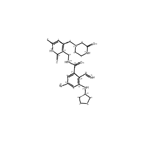 Cc1cc(CN2CCNC(=O)C2)c(CNC(=O)c2cc(Br)cc(NC3CCCC3)c2C=N)c(=O)[nH]1